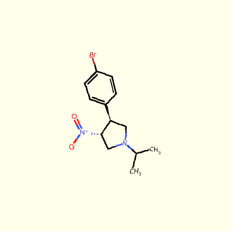 CC(C)N1C[C@H](c2ccc(Br)cc2)[C@@H]([N+](=O)[O-])C1